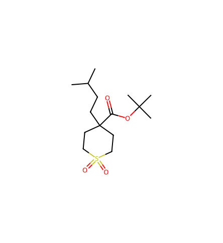 CC(C)CCC1(C(=O)OC(C)(C)C)CCS(=O)(=O)CC1